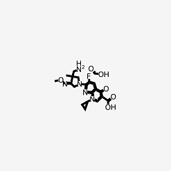 CON=C1CN(c2nc3c(cc2F)c(=O)c(C(=O)O)cn3C2CC2)CC1(C)CN.O=CO